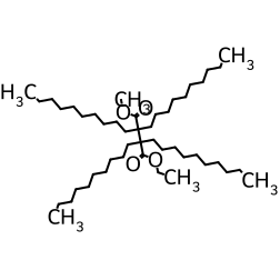 CCCCCCCCCCC(CCCCCCCCCC)(C(=O)OC)C(CCCCCCCCCC)(CCCCCCCCCC)C(=O)OCC